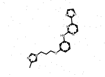 Cc1cn(CCCOc2cccc(Nc3nccc(-c4nccs4)n3)c2)cn1